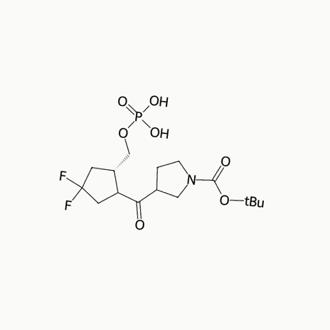 CC(C)(C)OC(=O)N1CCC(C(=O)C2CC(F)(F)C[C@@H]2COP(=O)(O)O)C1